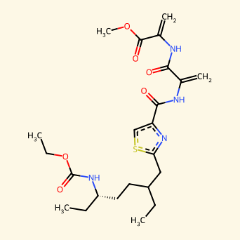 C=C(NC(=O)c1csc(CC(CC)CC[C@H](CC)NC(=O)OCC)n1)C(=O)NC(=C)C(=O)OC